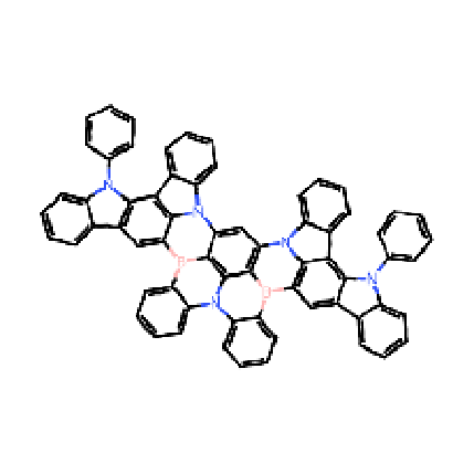 c1ccc(-n2c3ccccc3c3cc4c5c(c6ccccc6n5-c5cc6c7c8c5B4c4ccccc4N8c4ccccc4B7c4cc5c7ccccc7n(-c7ccccc7)c5c5c7ccccc7n-6c45)c32)cc1